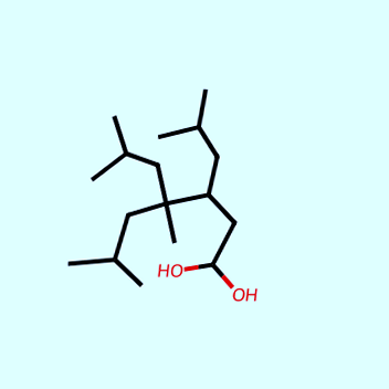 CC(C)CC(CC(O)O)C(C)(CC(C)C)CC(C)C